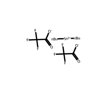 CCC[CH2][Sn+2][CH2]CCC.O=C([O-])C(F)(F)F.O=C([O-])C(F)(F)F